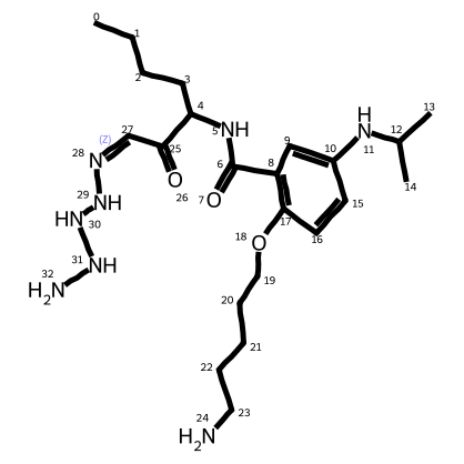 CCCCC(NC(=O)c1cc(NC(C)C)ccc1OCCCCCN)C(=O)/C=N\NNNN